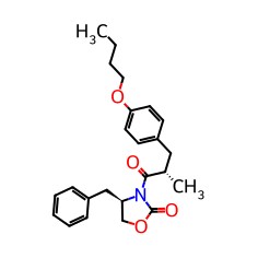 CCCCOc1ccc(C[C@H](C)C(=O)N2C(=O)OC[C@H]2Cc2ccccc2)cc1